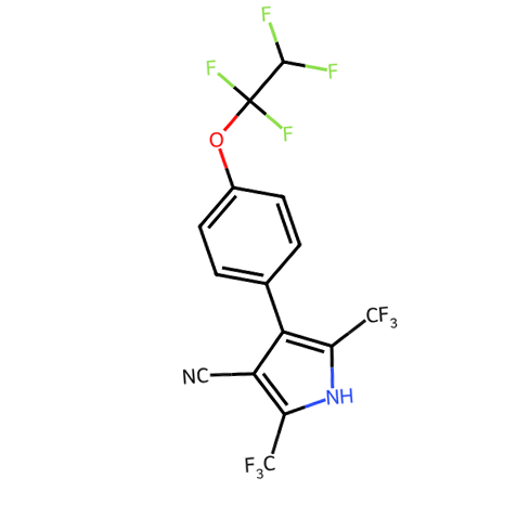 N#Cc1c(C(F)(F)F)[nH]c(C(F)(F)F)c1-c1ccc(OC(F)(F)C(F)F)cc1